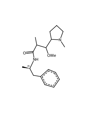 COC(C(C)C(=O)N[C@H](C)Cc1ccccc1)C1CCCN1C